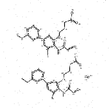 CCc1cccc(-c2cc(C)c(NC(=O)C=O)c(OCCCC(=O)[O-])c2)c1.CCc1cccc(-c2cc(C)c(NC(=O)C=O)c(OCCCC(=O)[O-])c2)c1.[Mg+2]